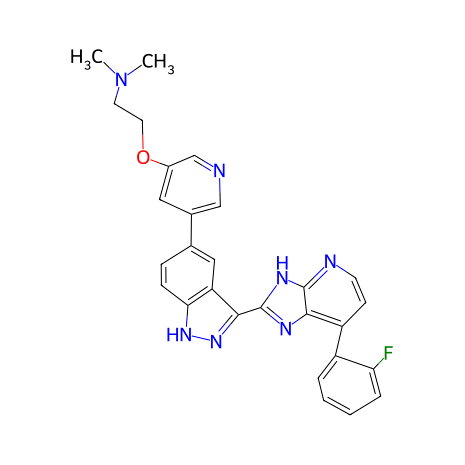 CN(C)CCOc1cncc(-c2ccc3[nH]nc(-c4nc5c(-c6ccccc6F)ccnc5[nH]4)c3c2)c1